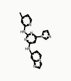 Cc1ccnc(Nc2nc(Nc3ccn4ccnc4c3)cc(-n3ccnc3)n2)c1